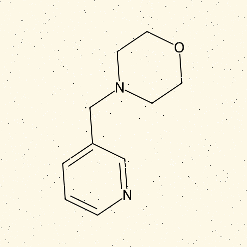 [CH](c1cccnc1)N1CCOCC1